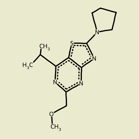 COCc1nc(C(C)C)c2sc(N3CCCC3)nc2n1